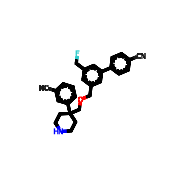 N#Cc1ccc(-c2cc(CF)cc(COCC3(c4cccc(C#N)c4)CCNCC3)c2)cc1